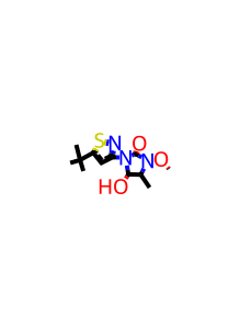 CON1C(=O)N(c2cc(C(C)(C)C)sn2)C(O)C1C